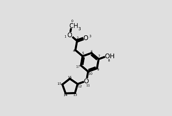 COC(=O)Cc1cc(O)cc(OC2CCCC2)c1